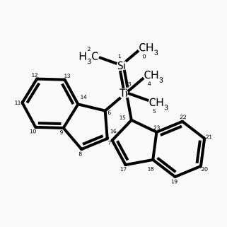 C[Si](C)=[Ti]([CH3])([CH3])([CH]1C=Cc2ccccc21)[CH]1C=Cc2ccccc21